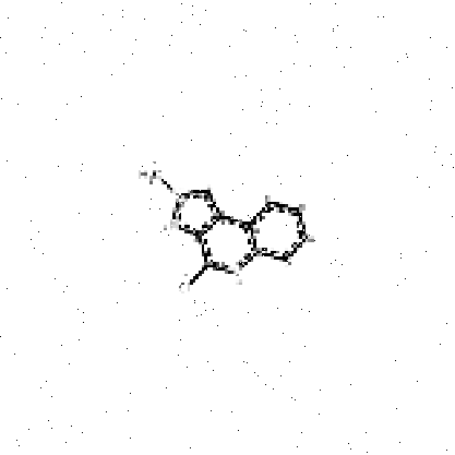 Cn1cc2c(n1)c(Cl)nc1ccccc12